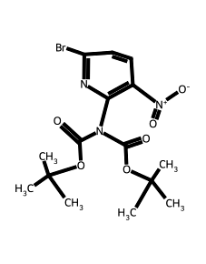 CC(C)(C)OC(=O)N(C(=O)OC(C)(C)C)c1nc(Br)ccc1[N+](=O)[O-]